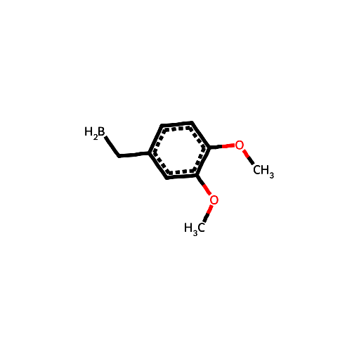 BCc1ccc(OC)c(OC)c1